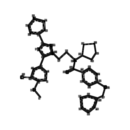 COc1ccc(-c2nc(-c3ccncc3)nn2CCN(C(=O)c2ccc(OCc3ccccc3)cc2)C2CCCC2)cc1Cl